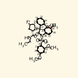 CCNC(=O)[C@@H]1C[C@@H](F)CN1C1(c2ccccc2OC)C(=O)N(S(=O)(=O)c2ccc(OC)cc2OC)c2ccc(Cl)cc21